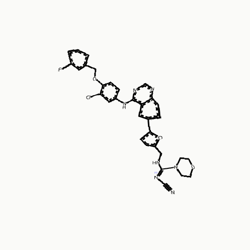 N#C/N=C(/NCc1ccc(-c2ccc3ncnc(Nc4ccc(OCc5cccc(F)c5)c(Cl)c4)c3c2)o1)N1CCOCC1